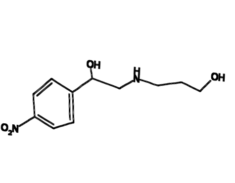 O=[N+]([O-])c1ccc(C(O)CNCCCO)cc1